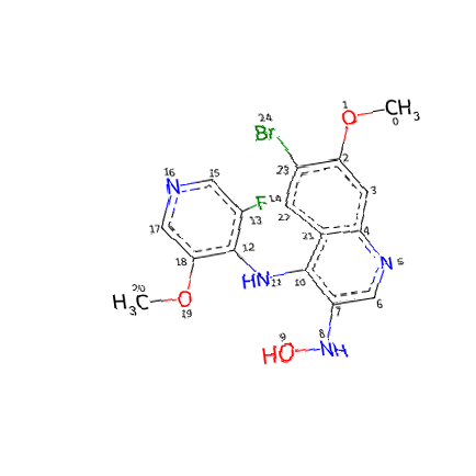 COc1cc2ncc(NO)c(Nc3c(F)cncc3OC)c2cc1Br